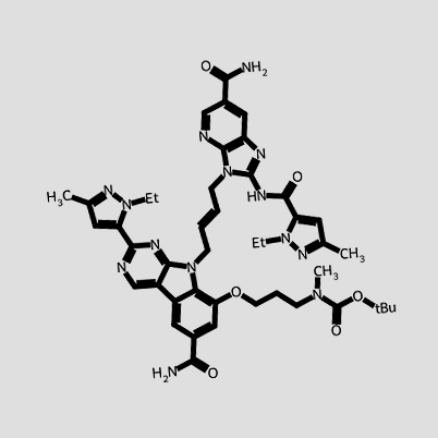 CCn1nc(C)cc1C(=O)Nc1nc2cc(C(N)=O)cnc2n1C/C=C/Cn1c2nc(-c3cc(C)nn3CC)ncc2c2cc(C(N)=O)cc(OCCCN(C)C(=O)OC(C)(C)C)c21